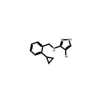 CC(=O)c1c[nH]nc1NCc1ccccc1C1CC1